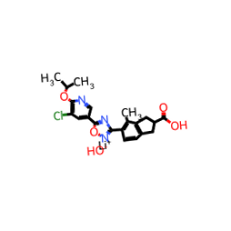 Cc1c(-c2noc(-c3cnc(OC(C)C)c(Cl)c3)n2)ccc2c1CC(C(=O)O)C2.[Li+].[OH-]